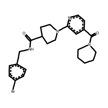 O=C(NCc1ccc(Br)cc1)C1CCN(c2cc(C(=O)N3CCCCC3)ccn2)CC1